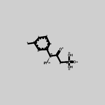 Cc1cccc([C@H](C(=O)CP(=O)(O)O)C(C)C)c1